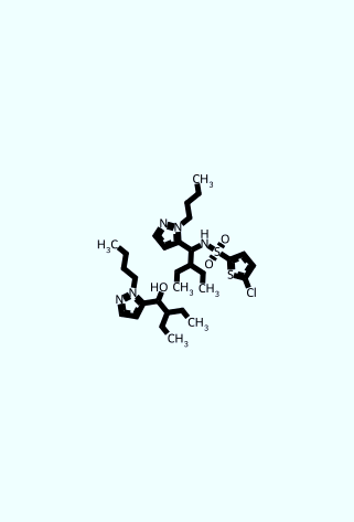 CCCCn1nccc1C(NS(=O)(=O)c1ccc(Cl)s1)C(CC)CC.CCCCn1nccc1C(O)C(CC)CC